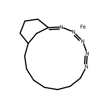 C1CCCN=NN=NN=C2CCCC(CCC1)C2.[Fe]